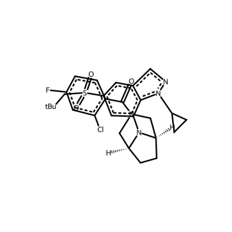 CC(C)(C)CS(=O)(=O)c1cc(N2[C@@H]3CC[C@H]2CN(C(=O)c2ccc(F)cc2Cl)C3)c2c(cnn2C2CC2)c1